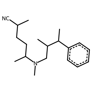 CC(C#N)CCC(C)N(C)CC(C)C(C)c1ccccc1